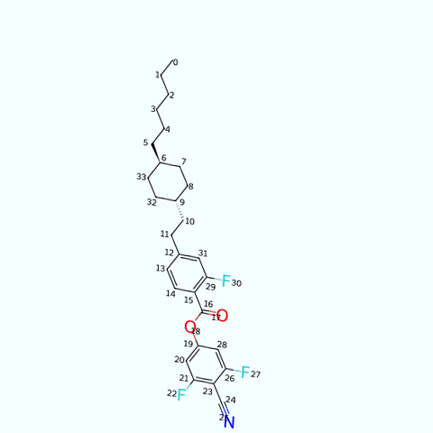 CCCCCC[C@H]1CC[C@H](CCc2ccc(C(=O)Oc3cc(F)c(C#N)c(F)c3)c(F)c2)CC1